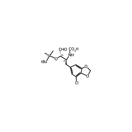 CC(C)(C)[Si](C)(C)O[C@H](C=O)[C@H](Cc1cc(Cl)c2c(c1)OCO2)NC(=O)O